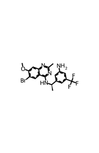 COc1cc2nc(C)nc(N[C@H](C)c3cc(N)cc(C(F)(F)F)c3)c2cc1Br